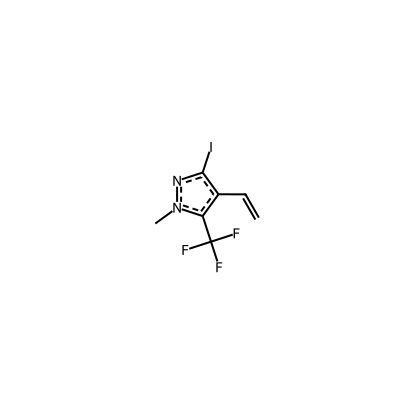 C=Cc1c(I)nn(C)c1C(F)(F)F